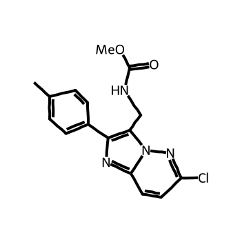 COC(=O)NCc1c(-c2ccc(C)cc2)nc2ccc(Cl)nn12